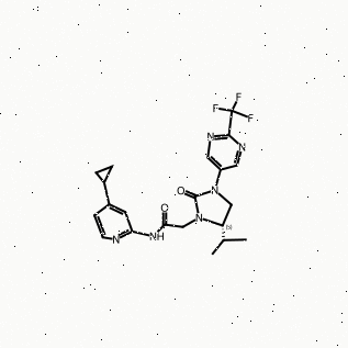 CC(C)[C@H]1CN(c2cnc(C(F)(F)F)nc2)C(=O)N1CC(=O)Nc1cc(C2CC2)ccn1